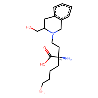 BCCCC[C@@](N)(CCN1Cc2ccccc2CC1CO)C(=O)O